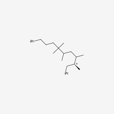 CC(C)CCCC(C)(C)C(C)CC(C)[C@@H](C)CC(C)C